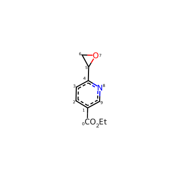 CCOC(=O)c1ccc(C2CO2)nc1